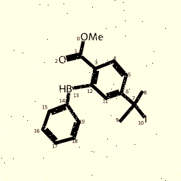 COC(=O)c1ccc(C(C)(C)I)cc1Bc1ccccc1